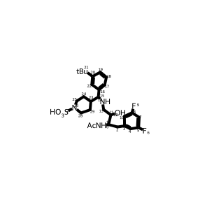 CC(=O)NC(Cc1cc(F)cc(F)c1)C(O)CNC(c1cccc(C(C)(C)C)c1)C1CCN(S(=O)(=O)O)CC1